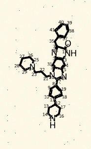 O=c1[nH]c2cc3nc(-c4ccc(C5CCNCC5)cc4)n(CCCN4CCCCC4)c3cc2nc1Cc1ccccc1